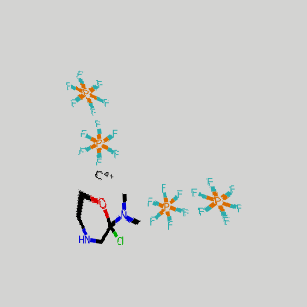 CN(C)C1(Cl)CNCCO1.F[P-](F)(F)(F)(F)F.F[P-](F)(F)(F)(F)F.F[P-](F)(F)(F)(F)F.F[P-](F)(F)(F)(F)F.[C+4]